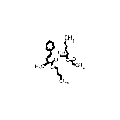 C=C(C=Cc1ccccc1)C(=O)OCCCC.C=CC(=O)OC(CC)CCCCC